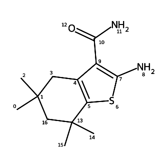 CC1(C)Cc2c(sc(N)c2C(N)=O)C(C)(C)C1